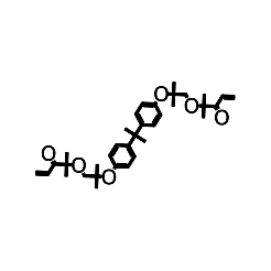 C=CC(=O)C(C)(C)OCC(C)(C)Oc1ccc(C(C)(C)c2ccc(OC(C)(C)COC(C)(C)C(=O)C=C)cc2)cc1